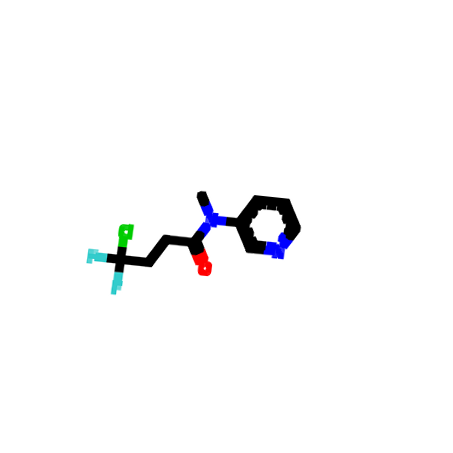 CN(C(=O)CCC(F)(F)Cl)c1cccnc1